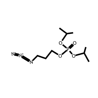 CC(C)OP(=O)(OCCCN=[N+]=[N-])OC(C)C